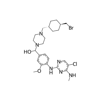 CNc1nc(Nc2ccc(C(O)N3CCN(C[C@H]4CC[C@H](CBr)CC4)CC3)cc2OC)ncc1Cl